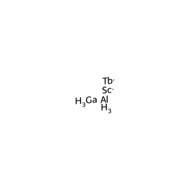 [AlH3].[GaH3].[Sc].[Tb]